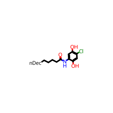 CCCCCCCCCCCCCCC(=O)Nc1cc(O)c(Cl)cc1O